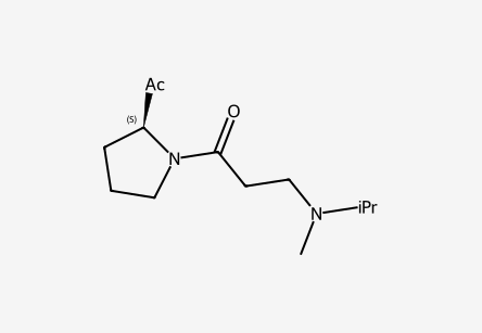 CC(=O)[C@@H]1CCCN1C(=O)CCN(C)C(C)C